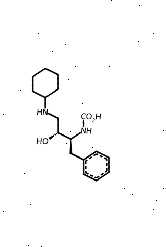 O=C(O)N[C@@H](Cc1ccccc1)[C@@H](O)CNC1CCCCC1